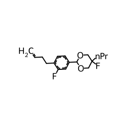 C=CCCc1ccc(C2OCC(F)(CCC)CO2)cc1F